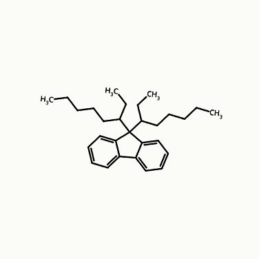 CCCCCC(CC)C1(C(CC)CCCCC)c2ccccc2-c2ccccc21